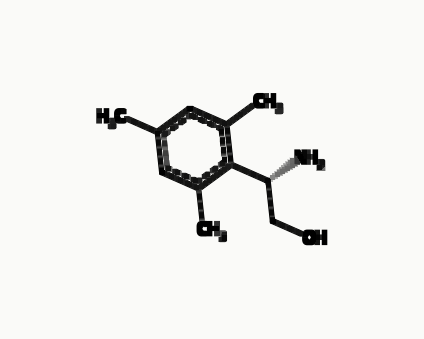 Cc1cc(C)c([C@H](N)CO)c(C)c1